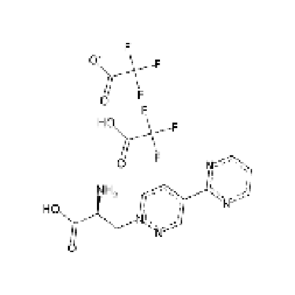 N[C@@H](C[n+]1ccc(-c2ncccn2)cn1)C(=O)O.O=C(O)C(F)(F)F.O=C([O-])C(F)(F)F